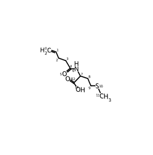 C=CCCC(=O)NC(CCSC)C(=O)O